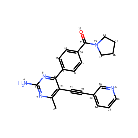 Cc1nc(N)nc(-c2ccc(C(=O)N3CCCC3)cc2)c1C#Cc1cccnc1